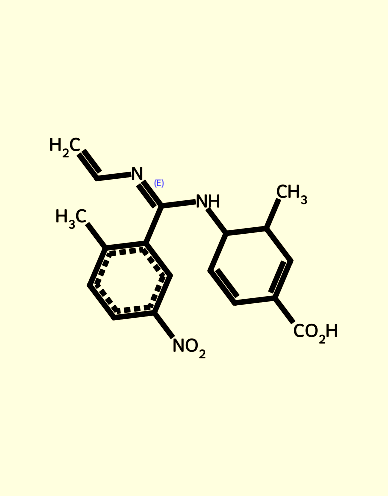 C=C/N=C(/NC1C=CC(C(=O)O)=CC1C)c1cc([N+](=O)[O-])ccc1C